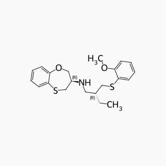 CC[C@H](CN[C@@H]1COc2ccccc2SC1)CSc1ccccc1OC